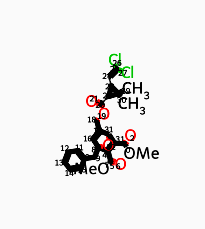 COC(=O)C1=C(C(=O)OC)C2(Cc3ccccc3)C=C(COC(=O)[C@@H]3[C@H](C=C(Cl)Cl)C3(C)C)C1O2